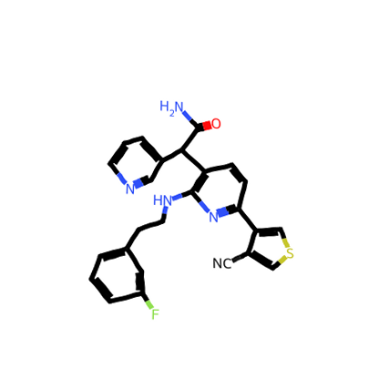 N#Cc1cscc1-c1ccc(C(C(N)=O)c2cccnc2)c(NCCc2cccc(F)c2)n1